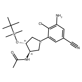 CC(=O)N[C@@H]1CN(c2cc(C#N)cc(N)c2Cl)C[C@H]1O[Si](C)(C)C(C)(C)C